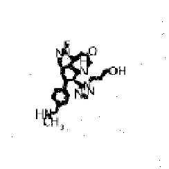 CNCc1ccc(C2C=C3C=NN(F)C4=CC(=O)CNC(=C34)C2c2ncnn2CCCO)cc1